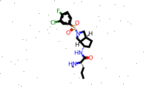 CCC[C@H](NC)C(=O)N[C@H]1CC[C@@H]2CN(S(=O)(=O)c3ccc(F)c(Cl)c3)C[C@@H]21